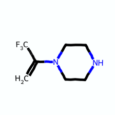 C=C(N1CCNCC1)C(F)(F)F